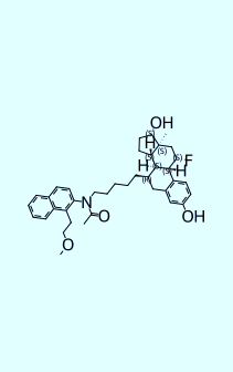 COCCc1c(N(CCCCC[C@@H]2Cc3cc(O)ccc3[C@@H]3[C@@H]2[C@@H]2CC[C@H](O)[C@@]2(C)C[C@@H]3F)C(C)=O)ccc2ccccc12